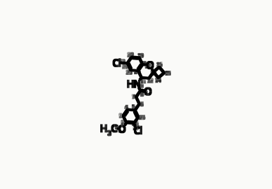 COc1ccc(CCC(=O)NC2CC3(CCC3)Oc3ccc(Cl)cc32)cc1Cl